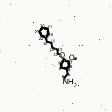 COc1cc(CCN)ccc1OCCCCCc1ccccc1